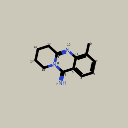 Cc1cccc2c(=N)n3c(nc12)CCCC3